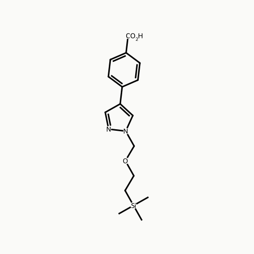 C[Si](C)(C)CCOCn1cc(-c2ccc(C(=O)O)cc2)cn1